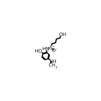 CNc1ccc(O)c(N[S+]([O-])CCCCO)c1